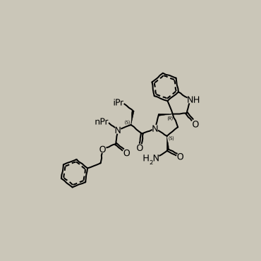 CCCN(C(=O)OCc1ccccc1)[C@@H](CC(C)C)C(=O)N1C[C@]2(C[C@H]1C(N)=O)C(=O)Nc1ccccc12